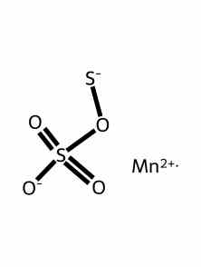 O=S(=O)([O-])O[S-].[Mn+2]